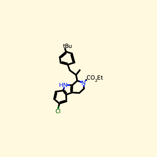 CCOC(=O)N1CCc2c([nH]c3ccc(Cl)cc23)C1C(C)Cc1ccc(C(C)(C)C)cc1